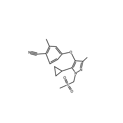 Cc1cc(Oc2c(C)nn(CS(C)(=O)=O)c2C2CC2)ccc1C#N